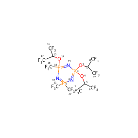 FC(F)(F)C(OP1(OC(C(F)(F)F)C(F)(F)F)=NP(C(F)(F)F)(C(F)(F)F)=NP(OC(C(F)(F)F)C(F)(F)F)(C(F)(F)F)=N1)C(F)(F)F